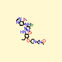 CCc1cc(Nc2ncc(Br)c(Nc3ccc4nccnc4c3P(C)C)n2)c(OC)cc1OC1CCN(C2CN(C(C)=O)C2)CC1